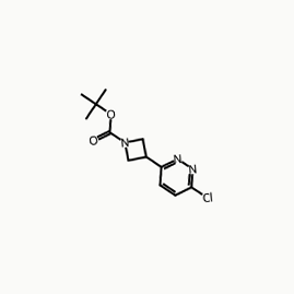 CC(C)(C)OC(=O)N1CC(c2ccc(Cl)nn2)C1